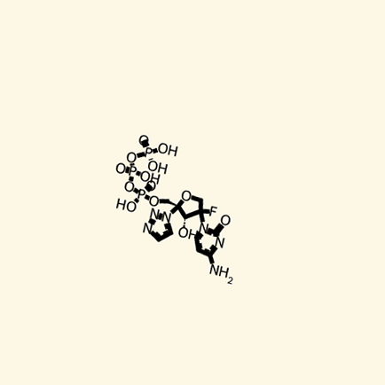 Nc1ccn(C2(F)CO[C@@](COP(=O)(O)OP(=O)(O)OP(=O)(O)O)(n3ccnn3)[C@H]2O)c(=O)n1